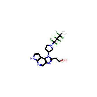 OCCc1nc2cnc3[nH]ccc3c2n1[C@H]1CCN(C(F)(F)C(F)(F)C(F)(F)C(F)(F)F)C1